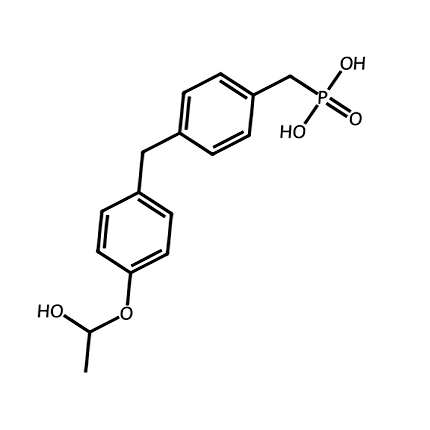 CC(O)Oc1ccc(Cc2ccc(CP(=O)(O)O)cc2)cc1